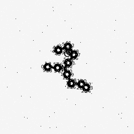 c1ccc(-c2ccc(N(c3ccc(-c4cccc(-c5ccc6ccccc6c5)c4)cc3)c3ccc(-c4cccc5c4oc4c(-c6ccccc6)cccc45)cc3)cc2)cc1